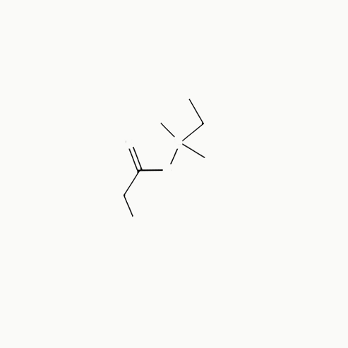 [CH2]CC(=O)O[Si](C)(C)CC